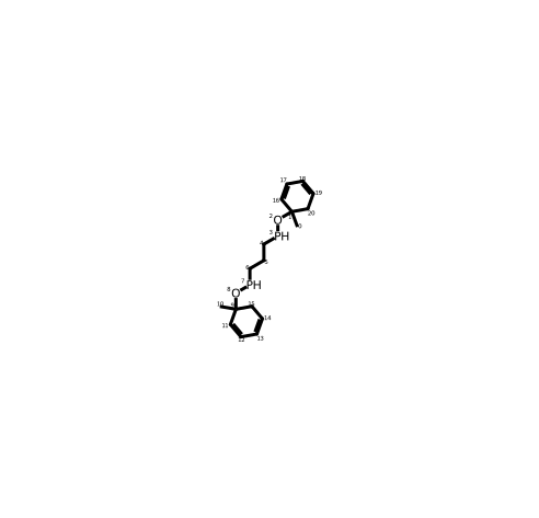 CC1(OPCCCPOC2(C)C=CC=CC2)C=CC=CC1